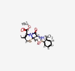 CC1=C(C(=O)OC(C)(C)C)N2C(=O)[C@@H](N[S+]([O-])c3ccccc3[N+](=O)[O-])[C@@H]2SC1